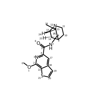 COc1nc(C(=O)N[C@@H]2C3CCN(CC3)[C@H]2C)cc2ccsc12